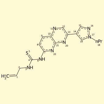 C=CCNC(=S)Nc1ccc2ncc(-c3cnn(CCC)c3)nc2n1